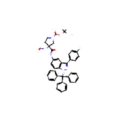 CC(C)(C)OC(=O)N1CCC(NC=O)(C(=O)Nc2ccc3c(c2)c(-c2ccc(F)cc2)nn3C(c2ccccc2)(c2ccccc2)c2ccccc2)C1